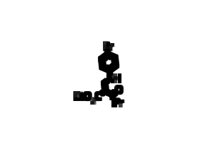 CCOC(=O)C(=CNc1ccc(Br)cc1)C(=O)C(C)C